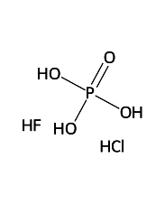 Cl.F.O=P(O)(O)O